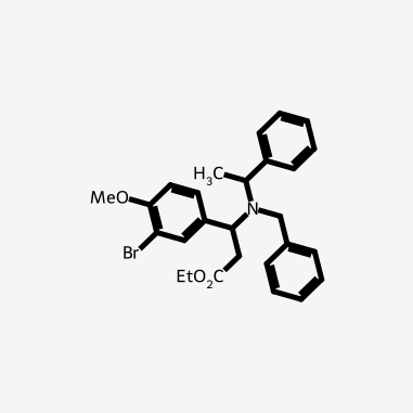 CCOC(=O)CC(c1ccc(OC)c(Br)c1)N(Cc1ccccc1)C(C)c1ccccc1